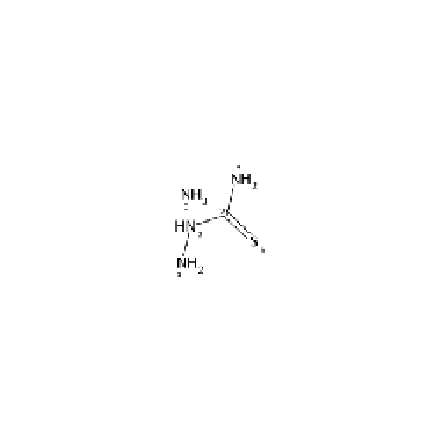 N.NNC(N)=S